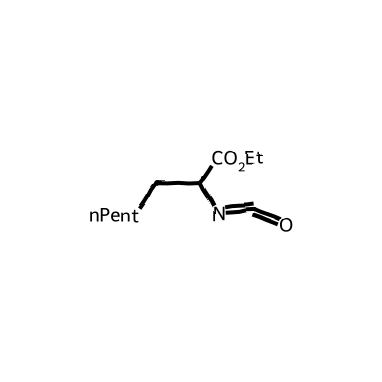 CCCCCCC(N=C=O)C(=O)OCC